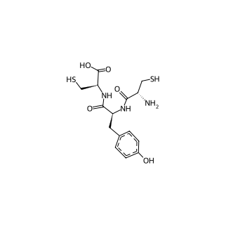 N[C@@H](CS)C(=O)N[C@@H](Cc1ccc(O)cc1)C(=O)N[C@@H](CS)C(=O)O